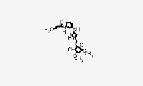 CC#CC(=O)Nc1cccc(Nc2cc(CCc3c(Cl)c(OC)cc(OC)c3Cl)[nH]n2)c1